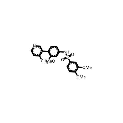 COc1ccc(S(=O)(=O)Nc2ccc(-c3cnccc3C)c(OC)c2)cc1OC